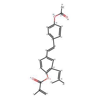 C=C(C)C(=O)Oc1ccc(/C=C/c2ccc(OC(=O)C(C)=O)cc2)cc1C=C(C)C